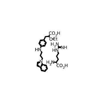 CCOC(Cc1ccc(NCCCn2ccc3ccccc32)cc1)C(=O)O.N=C(N)NCCC[C@H](N)C(=O)O